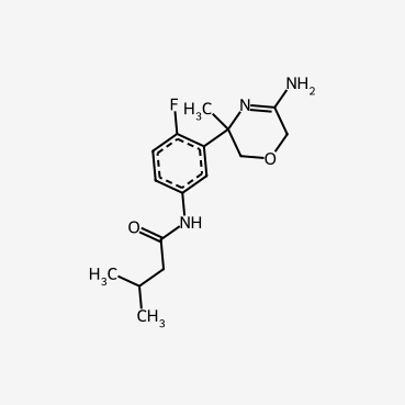 CC(C)CC(=O)Nc1ccc(F)c(C2(C)COCC(N)=N2)c1